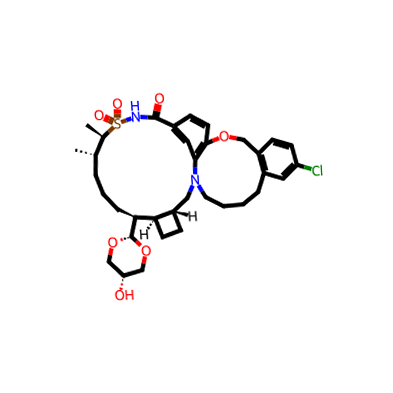 C[C@@H]1[C@@H](C)CCC[C@H]([C@H]2OC[C@@H](O)CO2)[C@@H]2CC[C@H]2CN2CCCCc3cc(Cl)ccc3COc3ccc(cc32)C(=O)NS1(=O)=O